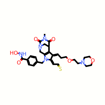 CN1C(=O)C2CN(Cc3c2c(=C/CCOCCN2CCOCC2)/c(=C\C=S)n3Cc2ccc(C(=O)NO)cc2)C1=O